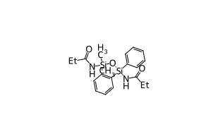 CCC(=O)N[Si](C)(C)O[Si](NC(=O)CC)(c1ccccc1)c1ccccc1